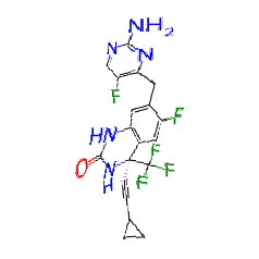 Nc1ncc(F)c(Cc2cc3c(cc2F)[C@@](C#CC2CC2)(C(F)(F)F)NC(=O)N3)n1